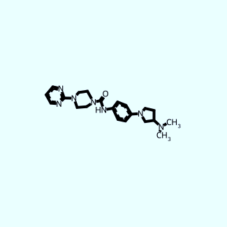 CN(C)C1CCN(c2ccc(NC(=O)N3CCN(c4ncccn4)CC3)cc2)C1